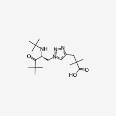 CC(C)(C)N[C@@H](Cn1cc(CC(C)(C)C(=O)O)nn1)C(=O)C(C)(C)C